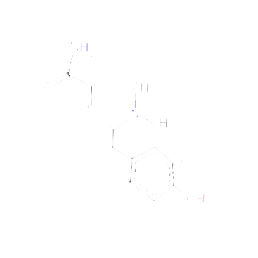 CN(C)C(CCC(N)=O)Cc1ccc(O)cc1